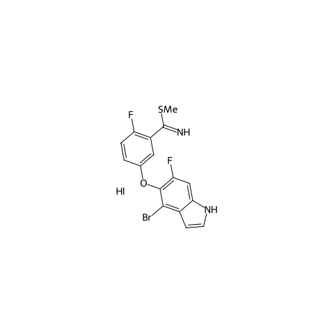 CSC(=N)c1cc(Oc2c(F)cc3[nH]ccc3c2Br)ccc1F.I